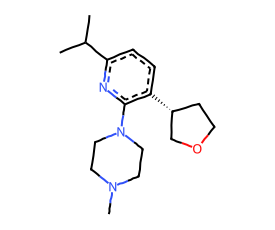 CC(C)c1ccc([C@@H]2CCOC2)c(N2CCN(C)CC2)n1